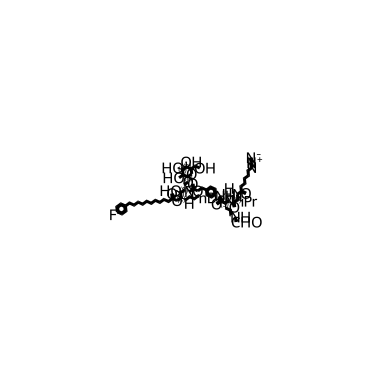 CCCCCCCCCCCCCC[C@@H](OC(=O)CCCCCCCCCCc1ccc(F)cc1)[C@@H](O)[C@H](CO[C@H]1OC(CO)[C@H](O)[C@H](O)C1O)NC(=O)OCc1ccc(NC(=O)[C@H](CCCNC=O)NC(=O)[C@@H](NC(=O)CCCCCN=[N+]=[N-])C(C)C)cc1